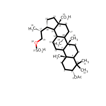 CC(=O)O[C@@H]1CC[C@@]2(C)C(CC[C@]3(C)C2CCC2C4[C@H]([C@@H](C)COS(=O)(=O)O)CC[C@]4(C(=O)O)CC[C@]23C)C1(C)C